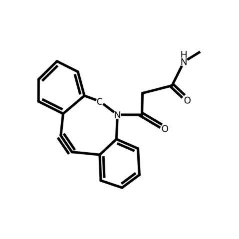 CNC(=O)CC(=O)N1Cc2ccccc2C#Cc2ccccc21